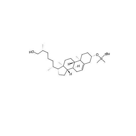 C[C@@H](CO)CCC[C@@H](C)[C@H]1CC[C@H]2[C@@H]3CC=C4C[C@@H](O[Si](C)(C)C(C)(C)C)CC[C@]4(C)[C@H]3CC[C@]12C